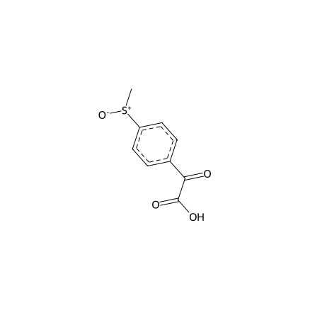 C[S+]([O-])c1ccc(C(=O)C(=O)O)cc1